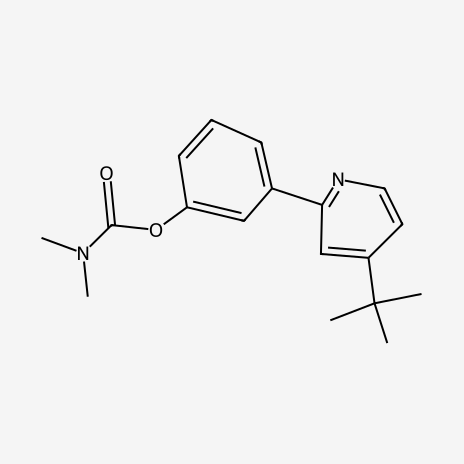 CN(C)C(=O)Oc1cccc(-c2cc(C(C)(C)C)ccn2)c1